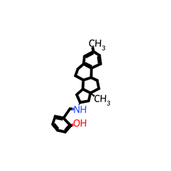 Cc1ccc2c(c1)CCC1C2CC[C@]2(C)C[C@H](NCc3ccccc3O)CC12